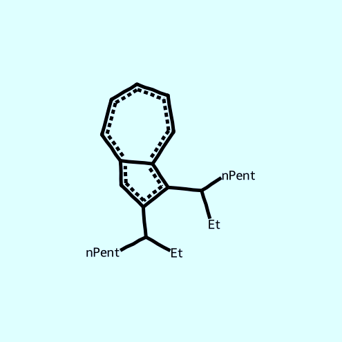 CCCCCC(CC)c1cc2cccccc-2c1C(CC)CCCCC